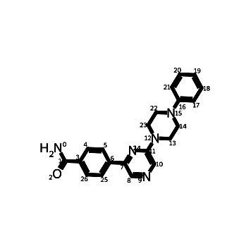 NC(=O)c1ccc(-c2cncc(N3CCN(c4ccccc4)CC3)n2)cc1